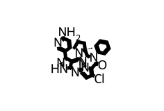 C[C@@]1(c2nn3ccc(Cl)c3c(=O)n2-c2ccccc2)CCCN1c1ncnc2[nH]nc(-c3ccc(N)nc3)c12